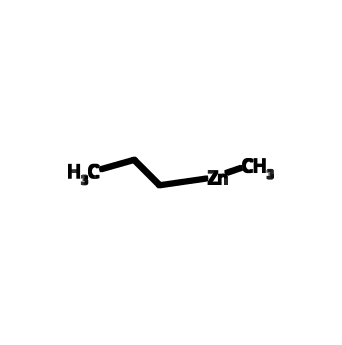 CC[CH2][Zn][CH3]